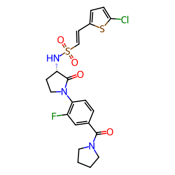 O=C(c1ccc(N2CC[C@H](NS(=O)(=O)/C=C/c3ccc(Cl)s3)C2=O)c(F)c1)N1CCCC1